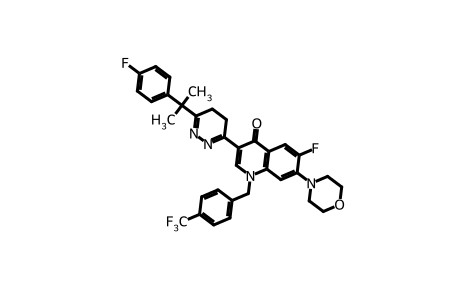 CC(C)(C1=NN=C(c2cn(Cc3ccc(C(F)(F)F)cc3)c3cc(N4CCOCC4)c(F)cc3c2=O)CC1)c1ccc(F)cc1